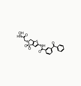 O=C(CN1Cc2sc(NC(=O)c3cccc(C(=O)c4ccccc4)c3)cc2S1(=O)=O)NO